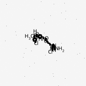 C[C@@H](NS(=O)(=O)c1ccc(CNC(=O)OCCCCn2cnc3c(N)nc(Cl)nc32)cc1)c1ccc(Cl)cc1